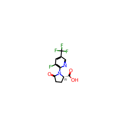 O=C(O)[C@@H]1CCC(=O)N1c1ncc(C(F)(F)F)cc1F